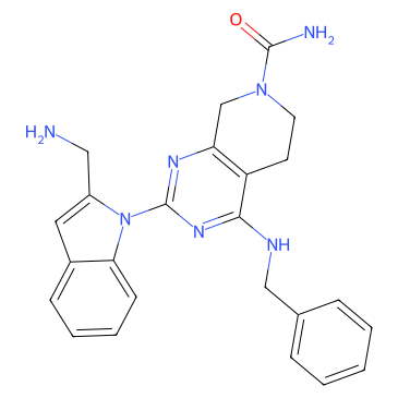 NCc1cc2ccccc2n1-c1nc2c(c(NCc3ccccc3)n1)CCN(C(N)=O)C2